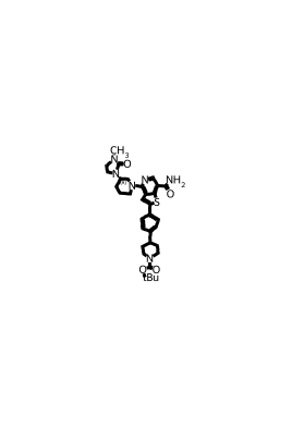 CN1CCN([C@@H]2CCCN(c3ncc(C(N)=O)c4sc(-c5ccc(C6CCN(C(=O)OC(C)(C)C)CC6)cc5)cc34)C2)C1=O